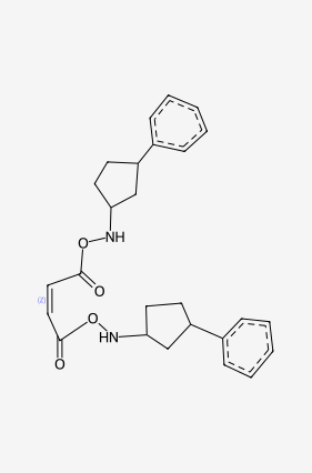 O=C(/C=C\C(=O)ONC1CCC(c2ccccc2)C1)ONC1CCC(c2ccccc2)C1